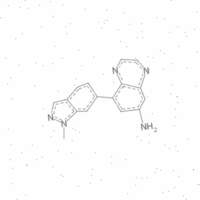 Cn1ncc2ccc(-c3cc(N)cc4nccnc34)cc21